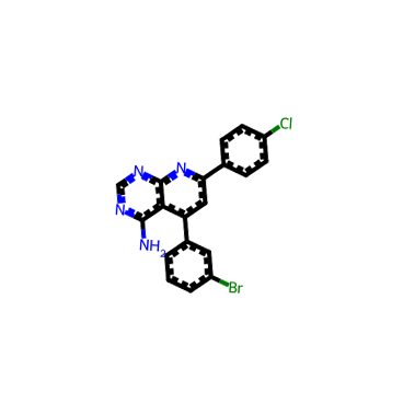 Nc1ncnc2nc(-c3ccc(Cl)cc3)cc(-c3cccc(Br)c3)c12